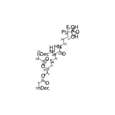 CCCCCCCCCCCC(=O)OC[C@H](CSC[C@H](N)C(=O)NCCCC(F)(F)P(=O)(O)O)OC(=O)CCCCCCCCCCC